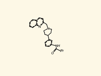 CC(C)C(=O)Nc1cccc(C2CCN(Cc3ccc4ccccc4n3)CC2)c1